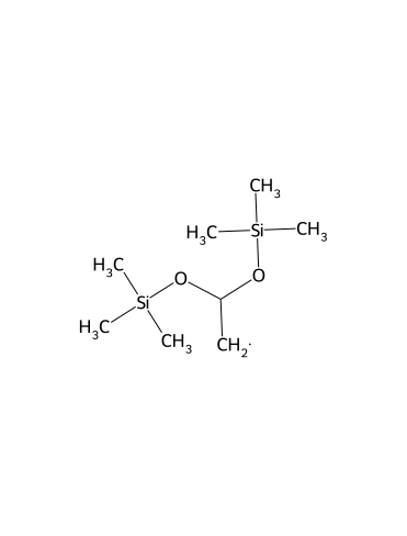 [CH2]C(O[Si](C)(C)C)O[Si](C)(C)C